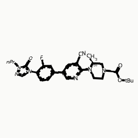 CCCn1ncn(-c2ccc(-c3cnc(N4CCN(C(=O)OC(C)(C)C)C[C@@H]4C)c(C#N)c3)cc2F)c1=O